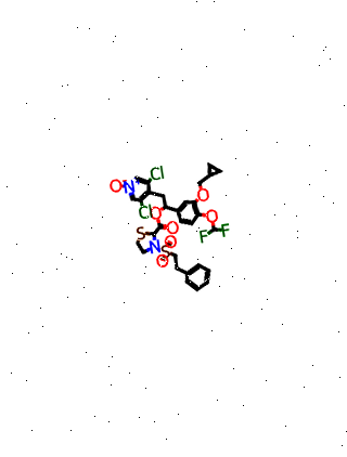 O=C(OC(Cc1c(Cl)c[n+]([O-])cc1Cl)c1ccc(OC(F)F)c(OCC2CC2)c1)C1SCCN1S(=O)(=O)CCc1ccccc1